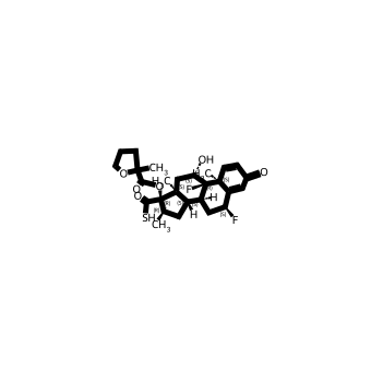 C[C@@H]1C[C@H]2[C@@H]3C[C@H](F)C4=CC(=O)C=C[C@]4(C)[C@@]3(F)[C@@H](O)C[C@]2(C)[C@@]1(OC(=O)C1(C)CCCO1)C(=O)S